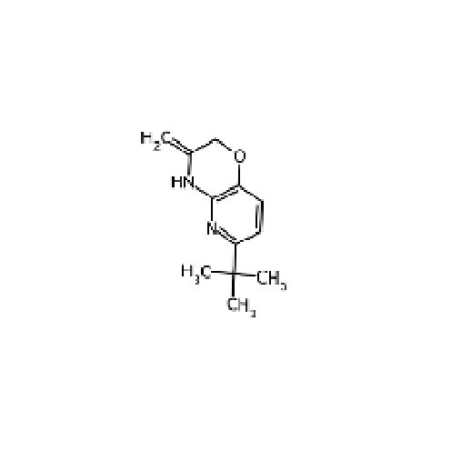 C=C1COc2ccc(C(C)(C)C)nc2N1